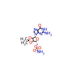 CC1(C)OC2C(O1)[C@@H](COS(N)(=O)=O)O[C@H]2n1cnc2c(=O)[nH]c(N)nc21